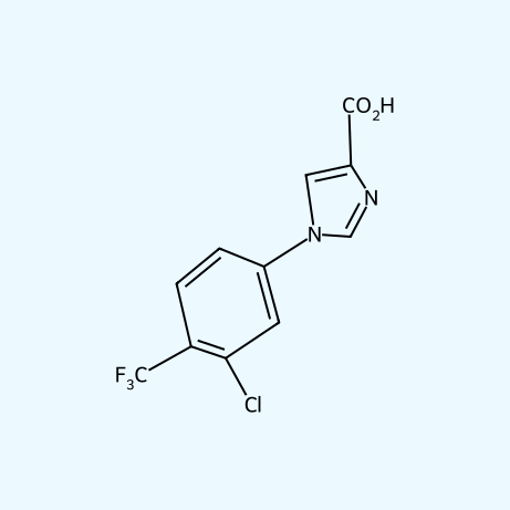 O=C(O)c1cn(-c2ccc(C(F)(F)F)c(Cl)c2)cn1